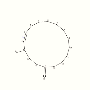 CC1/C=C\CCCCCCCCCCC(=O)CC1